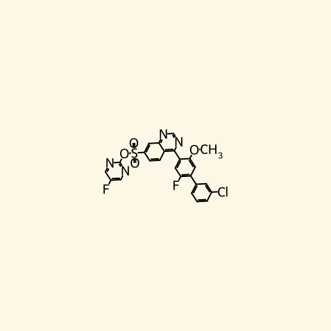 COc1cc(-c2cccc(Cl)c2)c(F)cc1-c1ncnc2cc(S(=O)(=O)Oc3ncc(F)cn3)ccc12